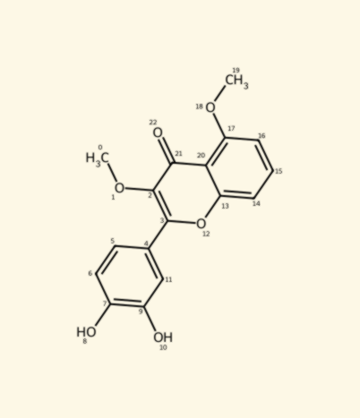 COc1c(-c2ccc(O)c(O)c2)oc2cccc(OC)c2c1=O